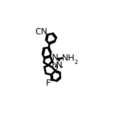 [C-]#[N+]c1cccc(-c2ccc3c(c2)C2(N=C(N)N(C)O2)C2(CCc4c(F)cccc4C2)C3)c1